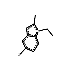 CCn1c(C)cc2cc(Cl)ccc21